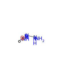 Nc1nc(CCCCCc2cn(CCN[S+]([O-])/C=C/c3ccccc3)nn2)c[nH]1